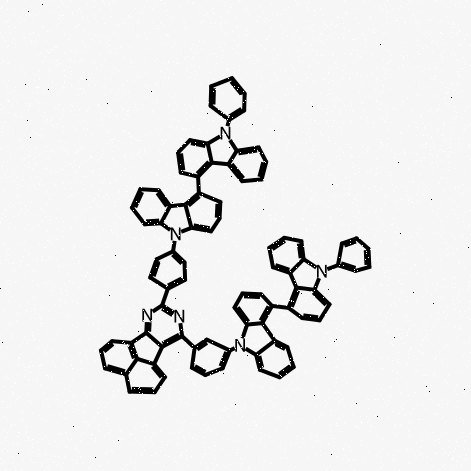 c1ccc(-n2c3ccccc3c3c(-c4cccc5c4c4ccccc4n5-c4ccc(-c5nc(-c6cccc(-n7c8ccccc8c8c(-c9cccc%10c9c9ccccc9n%10-c9ccccc9)cccc87)c6)c6c(n5)-c5cccc7cccc-6c57)cc4)cccc32)cc1